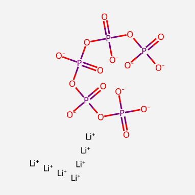 O=P([O-])([O-])OP(=O)([O-])OP(=O)([O-])OP(=O)([O-])OP(=O)([O-])[O-].[Li+].[Li+].[Li+].[Li+].[Li+].[Li+].[Li+]